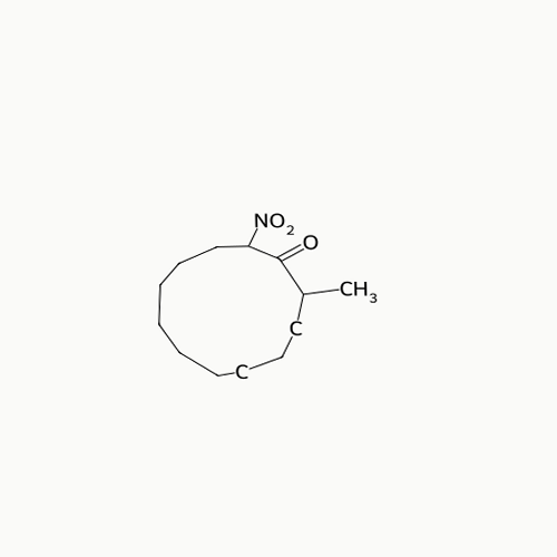 CC1CCCCCCCCCC([N+](=O)[O-])C1=O